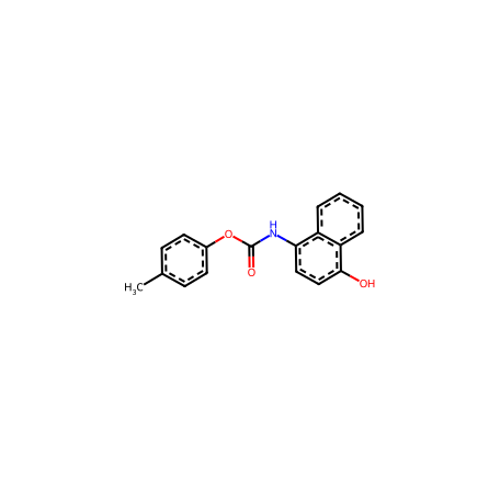 Cc1ccc(OC(=O)Nc2ccc(O)c3ccccc23)cc1